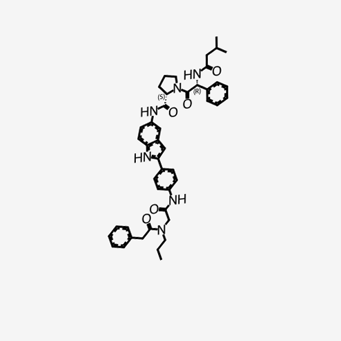 CCCN(CC(=O)Nc1ccc(-c2cc3cc(NC(=O)[C@@H]4CCCN4C(=O)[C@H](NC(=O)CC(C)C)c4ccccc4)ccc3[nH]2)cc1)C(=O)Cc1ccccc1